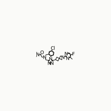 Cc1nc(N2CC3(CC(c4nnc5n4-c4ccc(Cl)cc4CN(CC(=O)N(C)C)C5)C3)C2)ncc1F